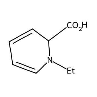 CCN1C=CC=CC1C(=O)O